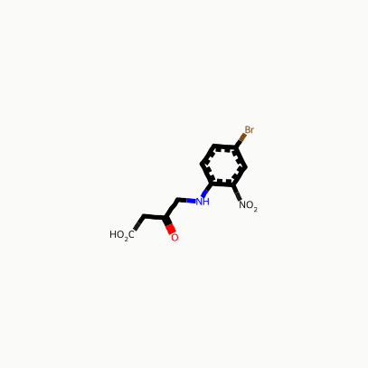 O=C(O)CC(=O)CNc1ccc(Br)cc1[N+](=O)[O-]